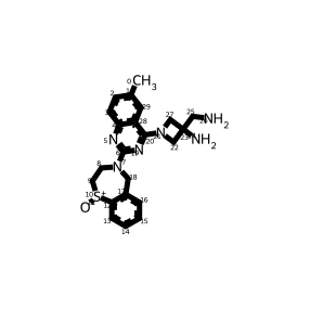 Cc1ccc2nc(N3CC[S+]([O-])c4ccccc4C3)nc(N3CC(N)(CN)C3)c2c1